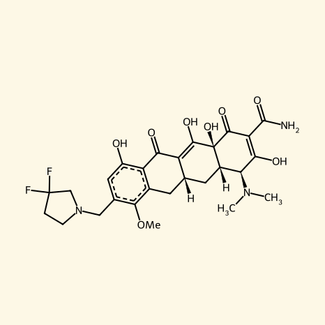 COc1c(CN2CCC(F)(F)C2)cc(O)c2c1C[C@H]1C[C@H]3[C@H](N(C)C)C(O)=C(C(N)=O)C(=O)[C@@]3(O)C(O)=C1C2=O